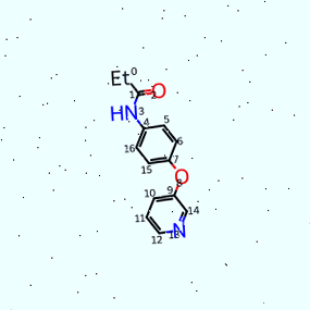 CCC(=O)Nc1ccc(Oc2cccnc2)cc1